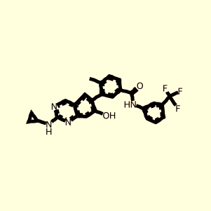 Cc1ccc(C(=O)Nc2cccc(C(F)(F)F)c2)cc1-c1cc2cnc(NC3CC3)nc2cc1O